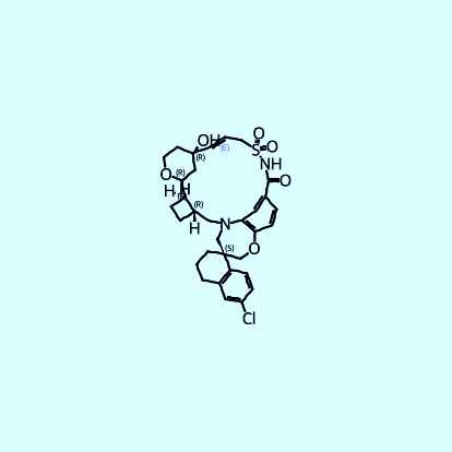 O=C1NS(=O)(=O)C/C=C/[C@@]2(O)CCO[C@H](C2)[C@@H]2CC[C@H]2CN2C[C@@]3(CCCc4cc(Cl)ccc43)COc3ccc1cc32